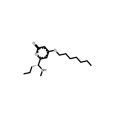 CCCCCCCOc1cc([C@@H](CCC)NC)oc(=O)c1